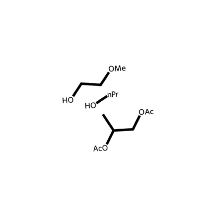 CC(=O)OCC(C)OC(C)=O.CCCO.COCCO